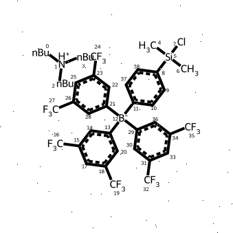 CCCC[NH+](CCCC)CCCC.C[Si](C)(Cl)c1ccc([B-](c2cc(C(F)(F)F)cc(C(F)(F)F)c2)(c2cc(C(F)(F)F)cc(C(F)(F)F)c2)c2cc(C(F)(F)F)cc(C(F)(F)F)c2)cc1